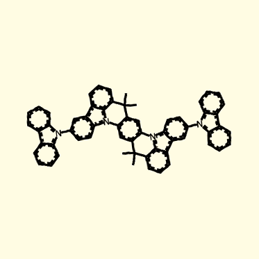 CC1(C)c2cc3c(cc2-n2c4ccc(-n5c6ccccc6c6ccccc65)cc4c4cccc1c42)C(C)(C)c1cccc2c4cc(-n5c6ccccc6c6ccccc65)ccc4n-3c12